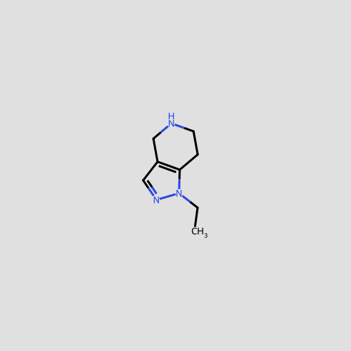 CCn1ncc2c1CCNC2